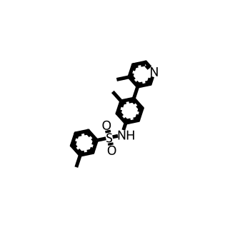 Cc1cccc(S(=O)(=O)Nc2ccc(-c3cnccc3C)c(C)c2)c1